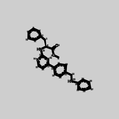 COC(=O)[C@H](Cc1ccccc1)Nc1nccc(-c2ccc(CNc3ccccc3)cc2)n1